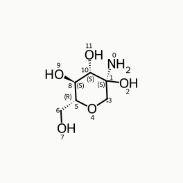 N[C@]1(O)[CH]O[C@H](CO)[C@@H](O)[C@@H]1O